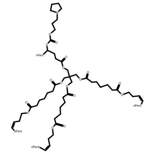 CCCCC/C=C\CCOC(=O)CCCCCC(=O)OCC(COC(=O)CCCCCC(=O)OCC/C=C\CCCCC)(COC(=O)CCCCCC(=O)OCC/C=C\CCCCC)COC(=O)CCC(CCCCCC)OC(=O)OCCCN1CCCC1